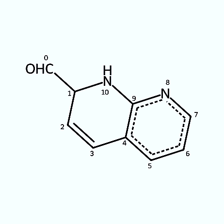 O=CC1C=Cc2cccnc2N1